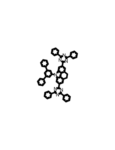 c1ccc(-c2cc(-c3ccccc3)cc(-n3c4cc(-c5nc(-c6ccccc6)nc(-c6ccccc6)n5)cc5c4c4c(cc(-c6nc(-c7ccccc7)nc(-c7ccccc7)n6)cc43)CC5)c2)cc1